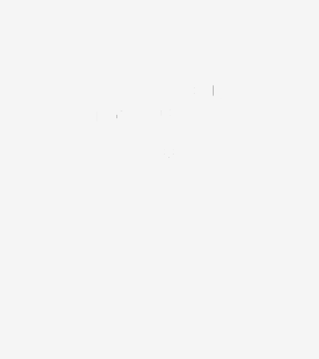 CCOC(=O)C(C)=Cc1cccc(-c2ccccc2)c1